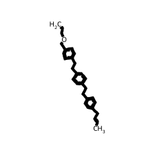 C=CCOCc1ccc(CCc2ccc(CCc3ccc(CC=CC)cc3)cc2)cc1